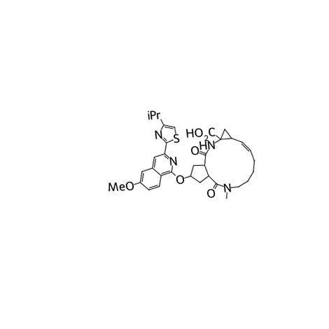 COc1ccc2c(OC3CC4C(=O)NC5(C(=O)O)CC5C=CCCCCN(C)C(=O)C4C3)nc(-c3nc(C(C)C)cs3)cc2c1